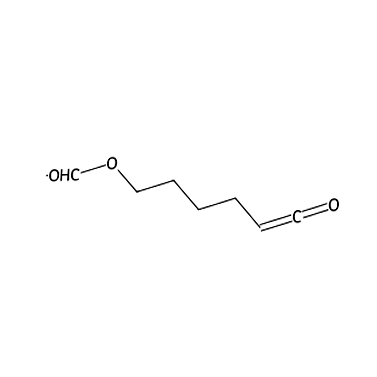 O=[C]OCCCCC=C=O